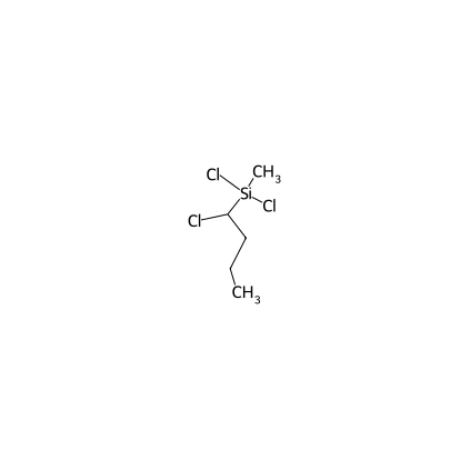 CCCC(Cl)[Si](C)(Cl)Cl